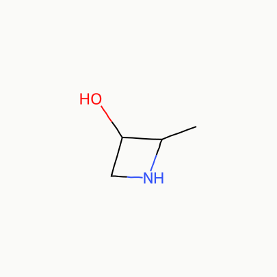 CC1NCC1O